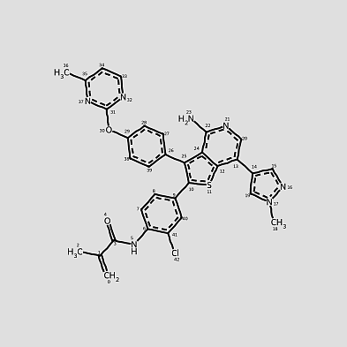 C=C(C)C(=O)Nc1ccc(-c2sc3c(-c4cnn(C)c4)cnc(N)c3c2-c2ccc(Oc3nccc(C)n3)cc2)cc1Cl